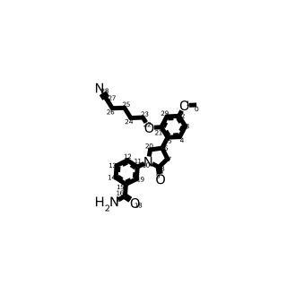 COc1ccc(C2CC(=O)N(c3cccc(C(N)=O)c3)C2)c(OCCCCC#N)c1